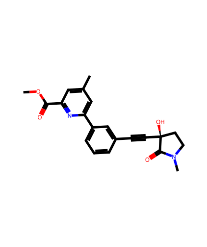 COC(=O)c1cc(C)cc(-c2cccc(C#C[C@]3(O)CCN(C)C3=O)c2)n1